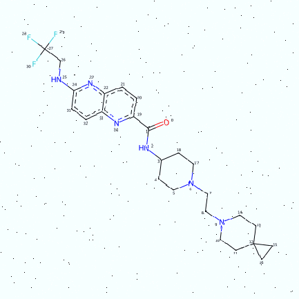 O=C(NC1CCN(CCN2CCC3(CC2)CC3)CC1)c1ccc2nc(NCC(F)(F)F)ccc2n1